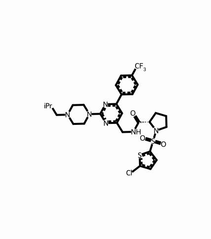 CC(C)CN1CCN(c2nc(CNC(=O)[C@@H]3CCCN3S(=O)(=O)c3ccc(Cl)s3)cc(-c3ccc(C(F)(F)F)cc3)n2)CC1